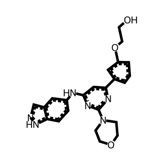 OCCOc1cccc(-c2cc(Nc3ccc4[nH]ncc4c3)nc(N3CCOCC3)n2)c1